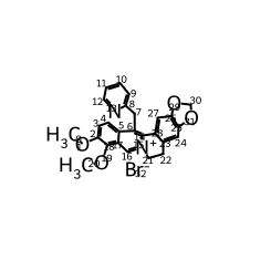 COc1ccc2c(Cc3ccccn3)c3[n+](cc2c1OC)CCc1cc2c(cc1-3)OCO2.[Br-]